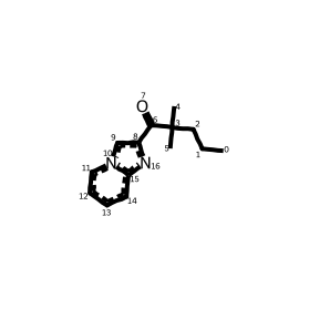 CCCC(C)(C)C(=O)c1cn2ccccc2n1